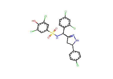 O=S(=O)(NC(C1=NNC(c2ccc(Cl)cc2)C1)c1ccc(Cl)cc1Cl)c1cc(Cl)c(O)c(Cl)c1